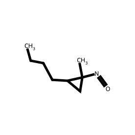 CCCCC1CC1(C)N=O